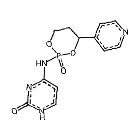 O=c1nc(NP2(=O)OCCC(c3ccncc3)O2)cc[nH]1